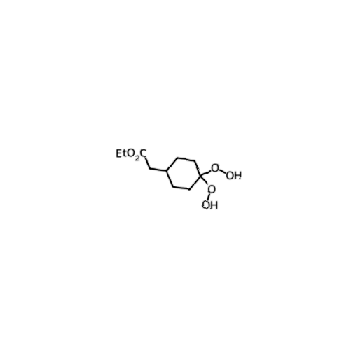 CCOC(=O)CC1CCC(OO)(OO)CC1